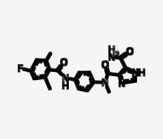 Cc1cc(F)cc(C)c1C(=O)Nc1ccc(N(C)C(=O)c2nc[nH]c2C(N)=O)cc1